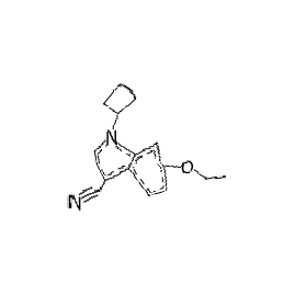 CCOc1ccc2c(C#N)cn(C3CCC3)c2c1